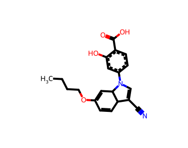 CCCCOC1=CC2C(C=C1)C(C#N)=CN2c1ccc(C(=O)O)c(O)c1